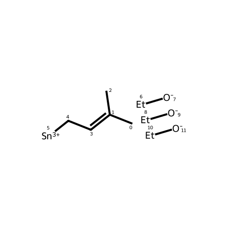 CC(C)=C[CH2][Sn+3].CC[O-].CC[O-].CC[O-]